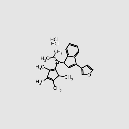 CC1=C(C)C(C)[C]([Zr]([CH]2C=C(c3ccoc3)c3ccccc32)=[Si](C)C)=C1C.Cl.Cl